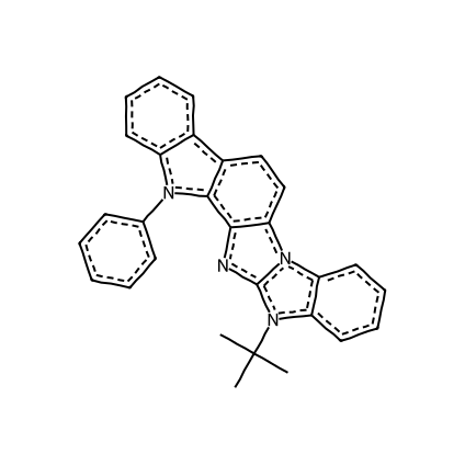 CC(C)(C)n1c2ccccc2n2c3ccc4c5ccccc5n(-c5ccccc5)c4c3nc12